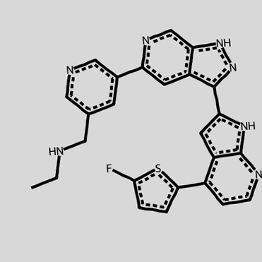 CCNCc1cncc(-c2cc3c(-c4cc5c(-c6ccc(F)s6)ccnc5[nH]4)n[nH]c3cn2)c1